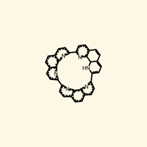 C1=Cc2ccc3nc2C2NC(=CC=C12)c1ccc2ccc4ccc(nc4c2n1)-c1ccc2ccc4ccc-3nc4c2n1